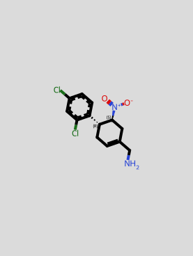 NCC1=CC[C@H](c2ccc(Cl)cc2Cl)[C@@H]([N+](=O)[O-])C1